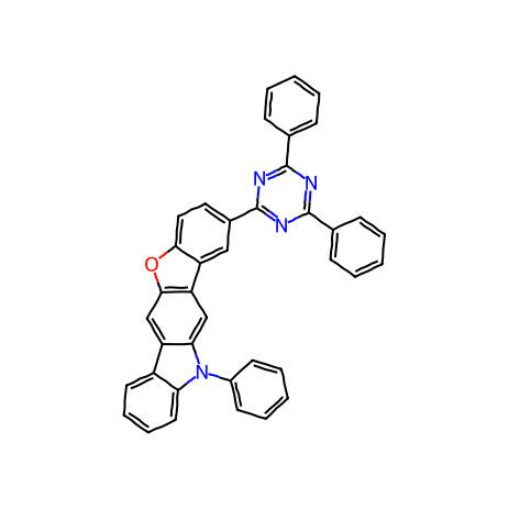 c1ccc(-c2nc(-c3ccccc3)nc(-c3ccc4oc5cc6c7ccccc7n(-c7ccccc7)c6cc5c4c3)n2)cc1